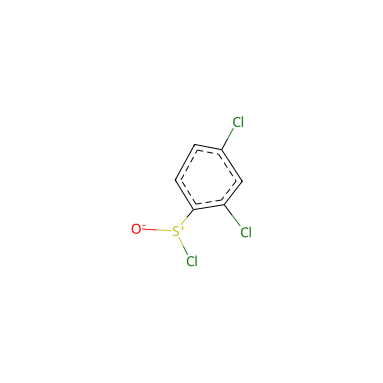 [O-][S+](Cl)c1ccc(Cl)cc1Cl